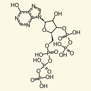 O=P(O)(O)OP(=O)(O)OC1C(O)[C@H](n2cnc3c(O)ncnc32)O[C@@H]1COP(=O)(O)OP(=O)(O)OP(=O)(O)O